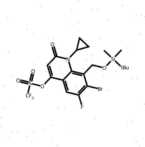 CC(C)(C)[Si](C)(C)OCc1c(Br)c(F)cc2c(OS(=O)(=O)C(F)(F)F)cc(=O)n(C3CC3)c12